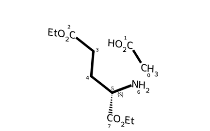 CC(=O)O.CCOC(=O)CC[C@H](N)C(=O)OCC